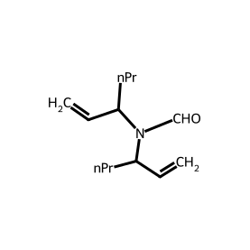 C=CC(CCC)N(C=O)C(C=C)CCC